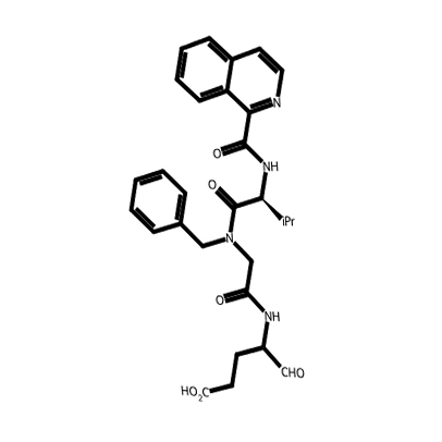 CC(C)[C@H](NC(=O)c1nccc2ccccc12)C(=O)N(CC(=O)NC(C=O)CCC(=O)O)Cc1ccccc1